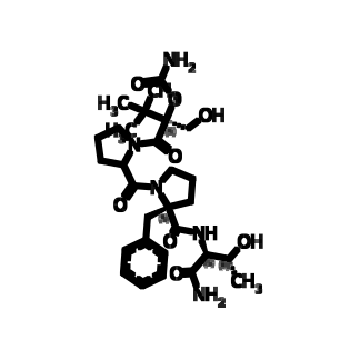 C[C@@H](O)[C@H](NC(=O)[C@@]1(Cc2ccccc2)CCCN1C(=O)C1CCCN1C(=O)[C@](CO)(OC(N)=O)C(C)(C)C)C(N)=O